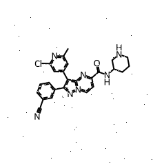 Cc1cc(-c2c(-c3cccc(C#N)c3)nn3ccc(C(=O)NC4CCCNC4)nc23)cc(Cl)n1